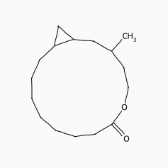 CC1CCOC(=O)CCCCCCCC2CC2C1